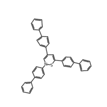 C1=C(c2ccc(-c3ccccc3)cc2)C=C(c2ccc(-c3ccccc3)cc2)SN1c1ccc(-c2ccccc2)cc1